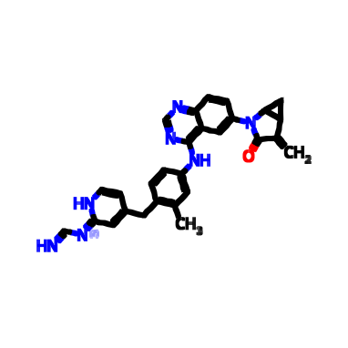 C=C1C(=O)N(c2ccc3ncnc(Nc4ccc(Cc5cc[nH]/c(=N\C=N)c5)c(C)c4)c3c2)C2CC12